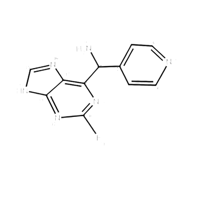 NC(c1ccncc1)c1nc(F)nc2[nH]cnc12